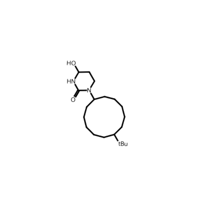 CC(C)(C)C1CCCCCC(N2CCC(O)NC2=O)CCCCC1